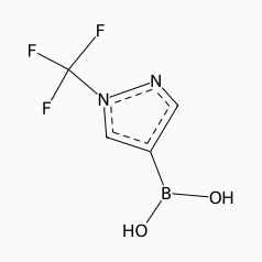 OB(O)c1cnn(C(F)(F)F)c1